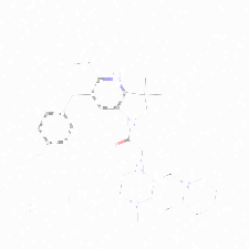 C[C@@H]1CN(CC(=O)N2CC(C)(C)c3nc([C@@H](O)CO)c(Cc4ccc(F)cc4)cc32)[C@@H](CN2[C@H](C)COC[C@H]2C)CN1.Cl.Cl